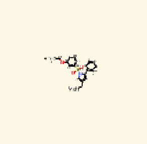 CNCc1cc(-c2ccccc2F)n(S(=O)(=O)c2cccc(OCC(=O)O)c2)c1